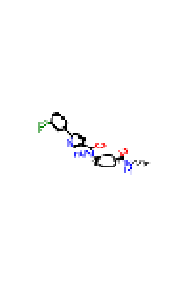 CCCNC(=O)[C@H]1CCC[C@@H](NC(=O)c2ccc(-c3cccc(F)c3)nc2)C1